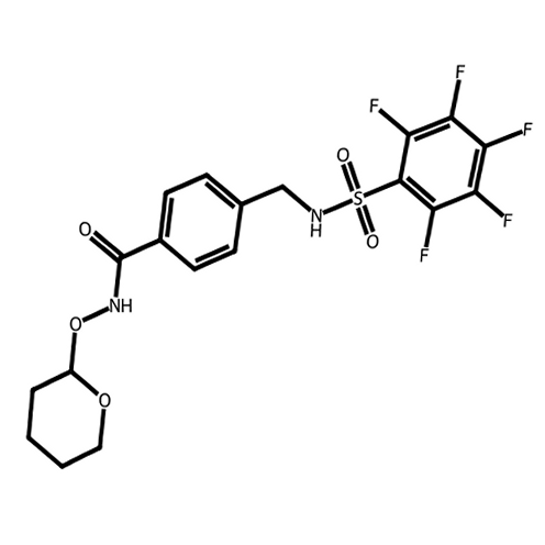 O=C(NOC1CCCCO1)c1ccc(CNS(=O)(=O)c2c(F)c(F)c(F)c(F)c2F)cc1